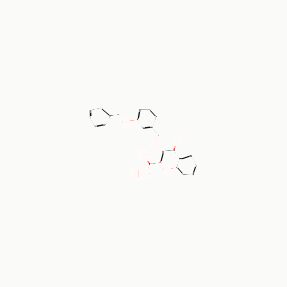 O=C(O)c1oc2ccccc2c(=O)c1OCc1cccc(OCc2ccccc2)c1